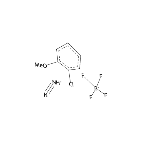 COc1ccccc1Cl.F[B-](F)(F)F.N#[NH+]